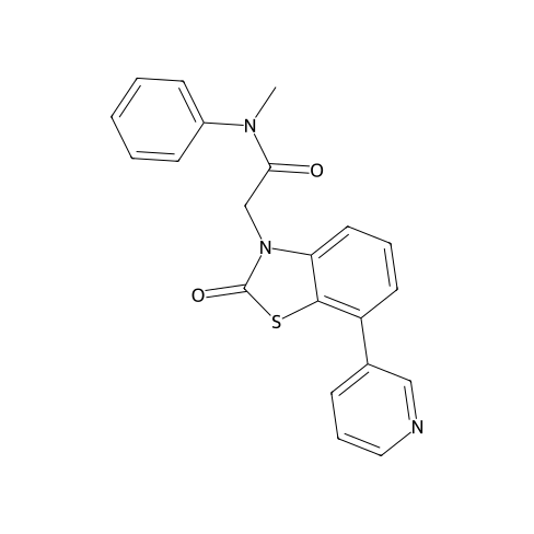 CN(C(=O)Cn1c(=O)sc2c(-c3cccnc3)cccc21)c1ccccc1